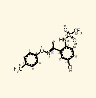 C/C(=N\Oc1ccc(C(F)(F)F)cc1)c1cc(Cl)ccc1NS(=O)(=O)C(F)(F)F